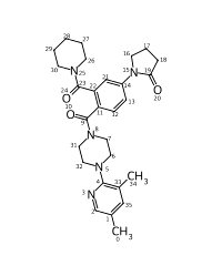 Cc1cnc(N2CCN(C(=O)c3ccc(N4CCCC4=O)cc3C(=O)N3CCCCC3)CC2)c(C)c1